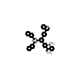 C=Nc1ccccc1/C(=C\C)c1ccc(-c2cc(-c3ccc(-c4ccnc5ccccc45)cc3)cc(-c3nc(-c4ccc5ccccc5c4)nc(-c4ccc5ccccc5c4)n3)c2)cc1